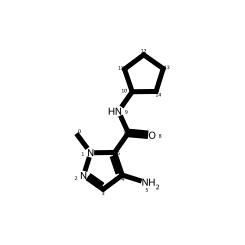 Cn1ncc(N)c1C(=O)NC1CCCC1